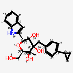 C[C@@]1(O)[C@@H](CO)O[C@@H](c2cc3ccccc3[nH]2)[C@H](O)[C@]1(O)Cc1ccc(C2CC2)cc1